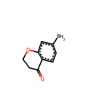 Bc1ccc2c(c1)OCCC2=O